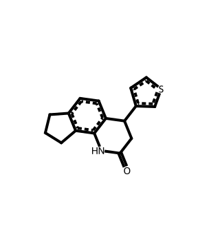 O=C1CC(c2ccsc2)c2ccc3c(c2N1)CCC3